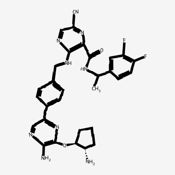 CC(NC(=O)c1nc(C#N)cnc1NCc1ccc(-c2cnc(N)c(O[C@H]3CCC[C@@H]3N)n2)cc1)c1ccc(F)c(F)c1